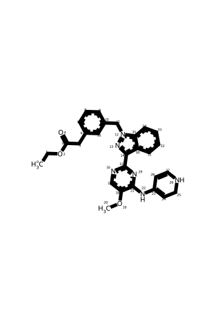 CCOC(=O)Cc1cccc(Cn2nc(-c3ncc(OC)c(NC4=CCNC=C4)n3)c3ccccc32)c1